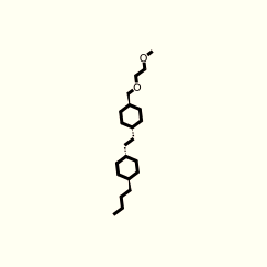 CCCC[C@H]1CC[C@H](CC[C@H]2CC[C@H](COCCOC)CC2)CC1